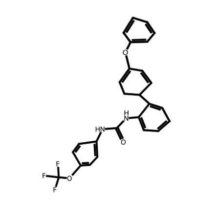 O=C(Nc1ccc(OC(F)(F)F)cc1)Nc1ccccc1C1C=CC(Oc2ccccc2)=CC1